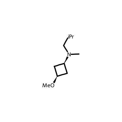 CO[C@H]1C[C@@H](N(C)CC(C)C)C1